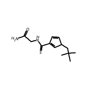 CC(C)(C)CC1C=CC(C(=S)NCC(N)=O)=C1